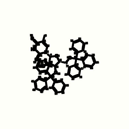 Cc1cn([C@@H]2O[C@H](COC(c3ccccc3)(c3ccccc3)c3ccccc3)[C@@H](OC(c3ccccc3)(c3ccccc3)c3ccccc3)[C@H]2O)c(=O)[nH]c1=O